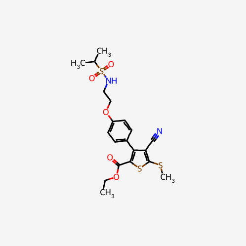 CCOC(=O)c1sc(SC)c(C#N)c1-c1ccc(OCCNS(=O)(=O)C(C)C)cc1